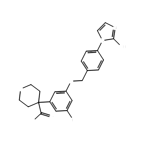 CC(=O)C1(c2cc(F)cc(OCc3ccc(-n4ccnc4C)cc3)c2)CCOCC1